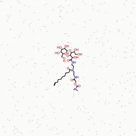 C=CCCCCCCCC(=O)N(CCNC(=O)COC(=O)N(C)C)CCNC(=O)C(O)C(O)C(O[C@@H]1OC(CO)[C@H](O)[C@H](O)C1O)C(O)CO